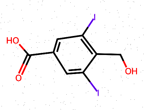 O=C(O)c1cc(I)c(CO)c(I)c1